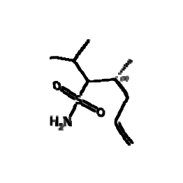 C=CC[C@@H](C)C(C(C)C)S(N)(=O)=O